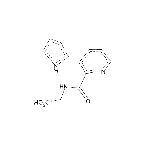 O=C(O)CNC(=O)c1ccccn1.c1cc[nH]c1